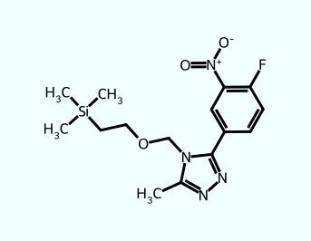 Cc1nnc(-c2ccc(F)c([N+](=O)[O-])c2)n1COCC[Si](C)(C)C